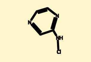 ClNc1cnccn1